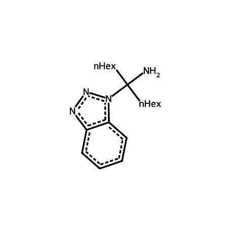 CCCCCCC(N)(CCCCCC)n1nnc2ccccc21